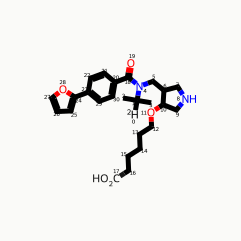 [2H]C(C)(C)N(CC1CNCC1OCCCCCC(=O)O)C(=O)c1ccc(-c2ccco2)cc1